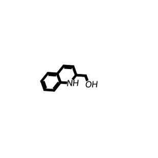 OCC1C=Cc2ccccc2N1